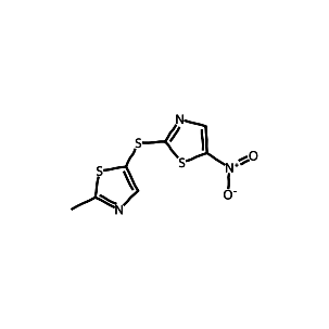 Cc1ncc(Sc2ncc([N+](=O)[O-])s2)s1